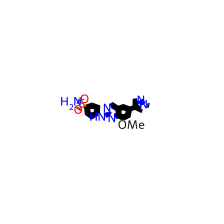 COc1cc(-c2cnn(C)c2)cc2cnc(Nc3ccc(S(N)(=O)=O)cc3)nc12